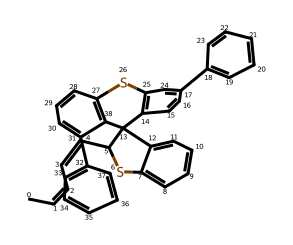 C/C=C\C=C/C1Sc2ccccc2C12c1ccc(-c3ccccc3)cc1Sc1cccc(-c3ccccc3)c12